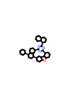 c1ccc(-c2ccc(-c3ccc4oc5cccc(-c6nc(-c7ccccc7)nc(-c7cccc8ccccc78)n6)c5c4c3)cc2)cc1